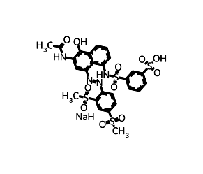 CC(=O)Nc1cc(N=Nc2ccc(S(C)(=O)=O)cc2S(C)(=O)=O)c2c(NS(=O)(=O)c3cccc(S(=O)(=O)O)c3)cccc2c1O.[NaH]